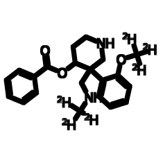 [2H]C([2H])([2H])NCC1(c2ccccc2OC([2H])([2H])[2H])CNCCC1OC(=O)c1ccccc1